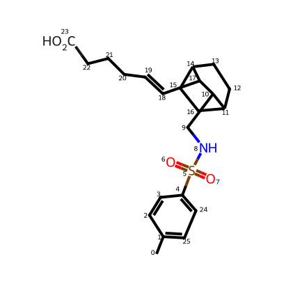 Cc1ccc(S(=O)(=O)NCC2C3CCC(CC3)C2/C=C/CCCC(=O)O)cc1